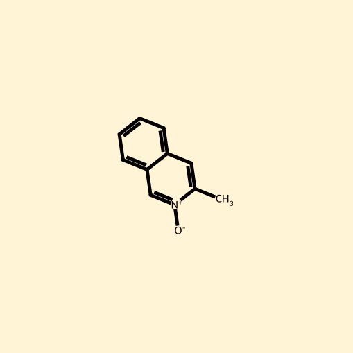 Cc1cc2ccccc2c[n+]1[O-]